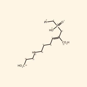 CC(C)CP(=O)(O)CC(=CCCCNCCC(=O)O)C(=O)O